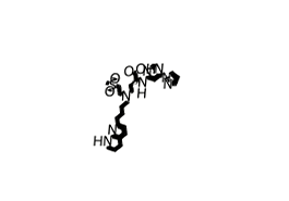 CS(=O)(=O)CCN(CCCCc1ccc2c(n1)NCCC2)CC[C@H](Nc1cc(-n2cccn2)ncn1)C(=O)O